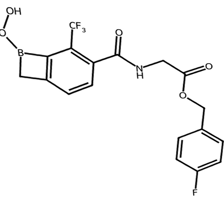 O=C(CNC(=O)c1ccc2c(c1C(F)(F)F)B(OO)C2)OCc1ccc(F)cc1